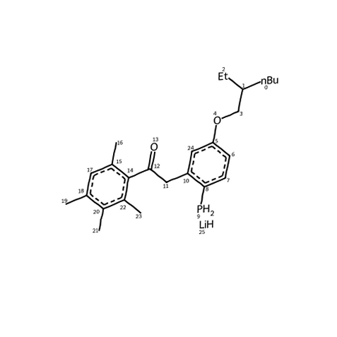 CCCCC(CC)COc1ccc(P)c(CC(=O)c2c(C)cc(C)c(C)c2C)c1.[LiH]